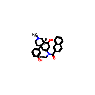 CC(C)CN(C(=O)c1ccc2ccccc2c1)[C@@H]1CC(O)[C@@H]2CN(C)CC[C@@]2(c2cccc(O)c2)C1